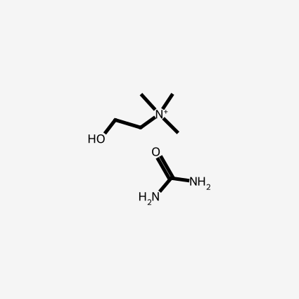 C[N+](C)(C)CCO.NC(N)=O